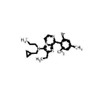 CCCN(CC1CC1)c1c(CC)nc2c(-c3c(C)cc(C)cc3Br)nccn12